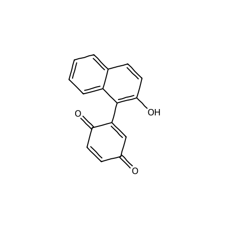 O=C1C=CC(=O)C(c2c(O)ccc3ccccc23)=C1